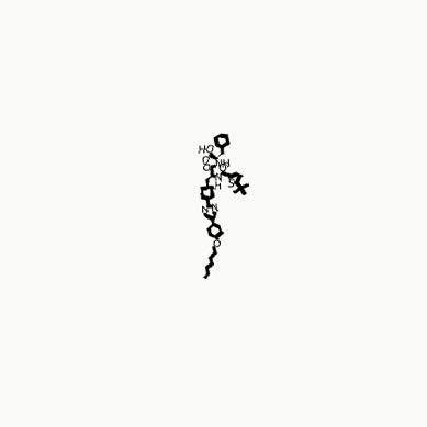 CCCCCCCOc1ccc(-c2cnc(-c3ccc(C[C@H](NC(=O)c4ccc(C(C)(C)C)s4)C(=O)N[C@H](Cc4ccccc4)C(=O)O)cc3)nc2)cc1